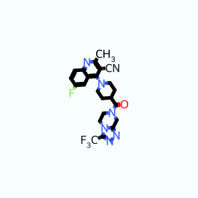 Cc1nc2ccc(F)cc2c(N2CCC(C(=O)N3CCn4c(nnc4C(F)(F)F)C3)CC2)c1C#N